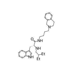 CCC(CC)CN[C@H](Cc1c[nH]c2ccccc12)C(=O)NCCCCN1CCc2ccccc2C1